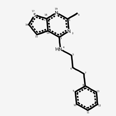 Cc1nc(NCCCc2ccccc2)c2ccsc2n1